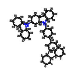 c1ccc2c(c1)-c1cccc3cc(-c4ccc(-n5c6ccccc6c6ccc(-n7c8ccccc8c8ccccc87)cc65)cc4)cc-2c13